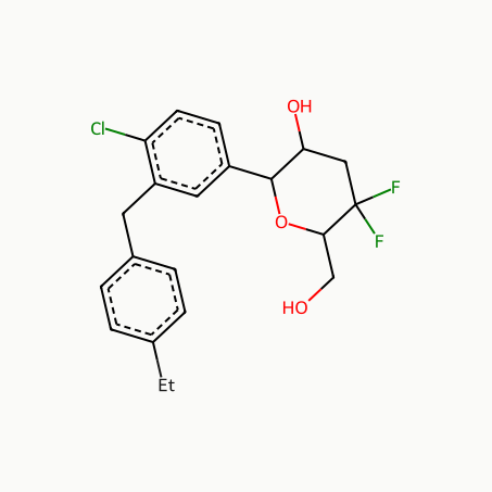 CCc1ccc(Cc2cc(C3OC(CO)C(F)(F)CC3O)ccc2Cl)cc1